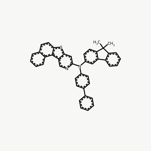 CC1(C)c2ccccc2-c2cc(N(c3ccc(-c4ccccc4)cc3)c3cc4sc5ccc6ccccc6c5c4cn3)ccc21